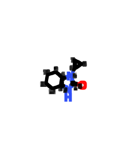 O=c1[nH]c2c(n1C1=CC1)CCCC2